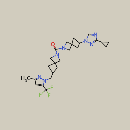 Cc1cc(C(F)(F)F)n(CC2CC3(C2)CN(C(=O)N2CC4(CC(n5cnc(C6CC6)n5)C4)C2)C3)n1